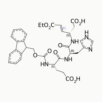 CCOC(=O)/C=C/[C@H](CC(=O)O)NC(=O)[C@@H](Cc1c[nH]cn1)NC(=O)[C@H](CCC(=O)O)NC(=O)OCC1c2ccccc2-c2ccccc21